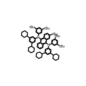 CC(C)(C)c1cc(N(c2cc(C3CCCCC3)cc(C3CCCCC3)c2)c2c3ccccc3c(N(c3cc(C4CCCCC4)cc(C4CCCCC4)c3)c3cc(C(C)(C)C)cc(C(C)(C)C)c3)c3cc(C(C)(C)C)ccc23)cc(C(C)(C)C)c1